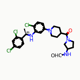 C[C@@H](Nc1cc(N2CCC(C(=O)N3CCC(NC=O)C3)CC2)ccc1Cl)c1ccc(Cl)cc1Cl